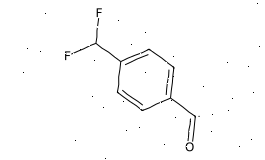 O=[C]c1ccc(C(F)F)cc1